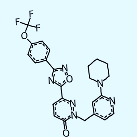 O=c1ccc(-c2nc(-c3ccc(OC(F)(F)F)cc3)no2)nn1Cc1ccnc(N2CCCCC2)c1